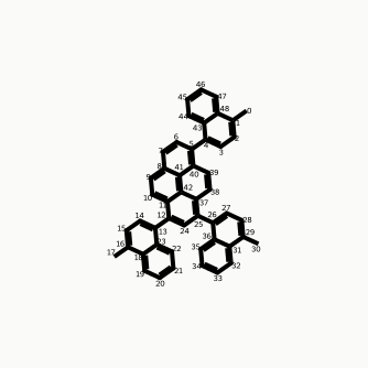 Cc1ccc(-c2ccc3ccc4c(-c5ccc(C)c6ccccc56)cc(-c5ccc(C)c6ccccc56)c5ccc2c3c45)c2ccccc12